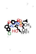 C=CC[C@@H](C)[C@@H](CC1CC1)S(=O)(=O)NC(=O)c1ccc2c(c1)N(C[C@@H]1CC[C@H]1[C@@H](O)/C=C/CCC)C[C@@]1(CCCc3cc(Cl)ccc31)CO2